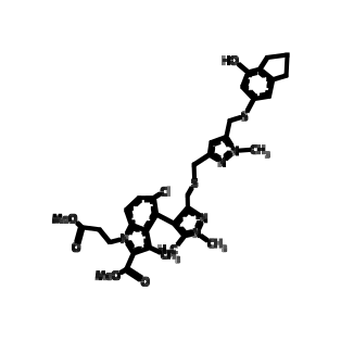 COC(=O)CCn1c(C(=O)OC)c(C)c2c(-c3c(CSCc4cc(CSc5cc(O)c6c(c5)CCC6)n(C)n4)nn(C)c3C)c(Cl)ccc21